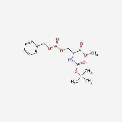 COC(=O)C(COC(=O)OCc1ccccc1)NC(=O)OC(C)(C)C